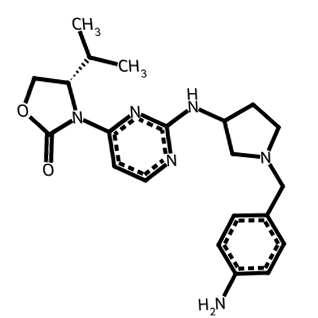 CC(C)[C@H]1COC(=O)N1c1ccnc(NC2CCN(Cc3ccc(N)cc3)C2)n1